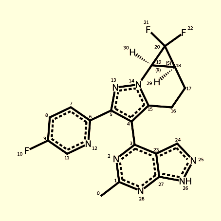 Cc1nc(-c2c(-c3ccc(F)cn3)nn3c2CC[C@H]2[C@@H]3C2(F)F)c2cn[nH]c2n1